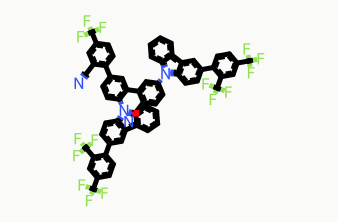 N#Cc1cc(C(F)(F)F)ccc1-c1ccc(-n2c3ccccc3c3cc(-c4ccc(C(F)(F)F)cc4C(F)(F)F)ccc32)c(-c2cc(-n3c4ccccc4c4cc(-c5ccc(C(F)(F)F)cc5C(F)(F)F)ccc43)ccc2C#N)c1